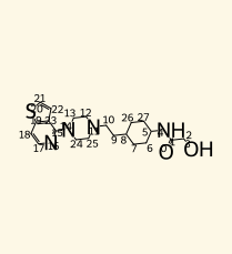 O=C(CO)NC1CCC(CCN2CCN(c3nccc4sccc34)CC2)CC1